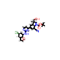 CC(C)(C)OC(=O)N1CC(C)(CO)c2cc(-c3ccnc(Nc4cc(Cl)cc5c4OCC5)n3)cc(C#N)c21